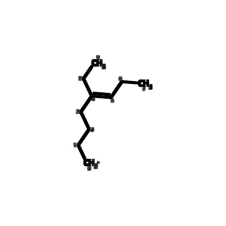 [CH2]CCCC(=CCC)CC